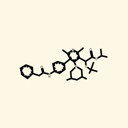 Cc1nc(C)c(C(OC(C)(C)C)C(=O)OC(C)C)c(N2CC(C)CC(C)C2)c1-c1ccc(NC(=O)Cc2ccccc2)cc1